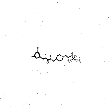 CC(C)(C)NCCN1CCC(CNC(=O)/C=C/c2cc(F)cc(F)c2)CC1